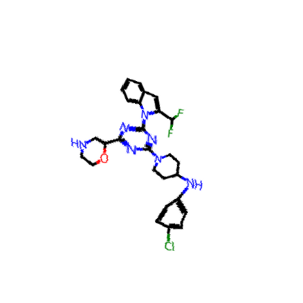 FC(F)c1cc2ccccc2n1-c1nc(C2CNCCO2)nc(N2CCC(Nc3ccc(Cl)cc3)CC2)n1